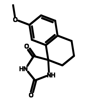 COc1ccc2c(c1)C1(CCC2)NC(=O)NC1=O